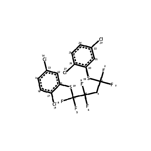 FC(F)(CC(F)(F)C(F)(F)Sc1cc(Cl)ccc1Cl)Sc1cc(Cl)ccc1Cl